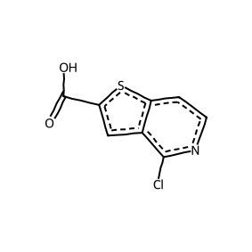 O=C(O)c1cc2c(Cl)nccc2s1